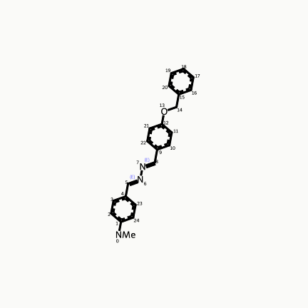 CNc1ccc(/C=N/N=C/c2ccc(OCc3ccccc3)cc2)cc1